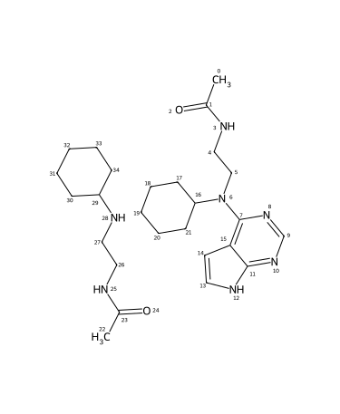 CC(=O)NCCN(c1ncnc2[nH]ccc12)C1CCCCC1.CC(=O)NCCNC1CCCCC1